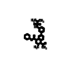 CC(=O)N1c2ccc(-c3cccc(NS(=O)(=O)N(C)C)c3)cc2N(C(=O)OC2CCCCC2)CC1C